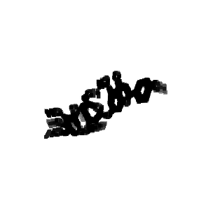 O=c1cc(-c2ccc(O)cc2)oc2cc(O[C@@H]3O[C@H](CO)[C@@H](OC4OC[C@](O)(CO)[C@H]4O)[C@H](O)[C@H]3O)cc(O)c12